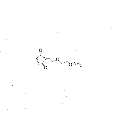 NOCCOCCN1C(=O)C=CC1=O